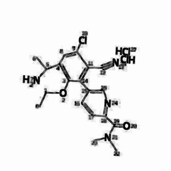 CCOc1c(C(C)N)cc(Cl)c(C#N)c1-c1ccc(C(=O)N(C)C)nc1.Cl.Cl